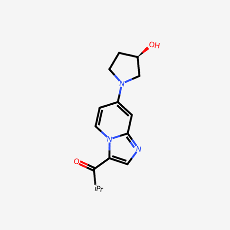 CC(C)C(=O)c1cnc2cc(N3CC[C@@H](O)C3)ccn12